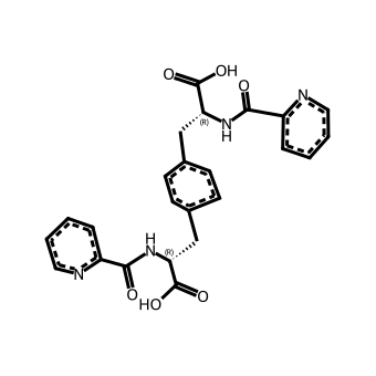 O=C(N[C@H](Cc1ccc(C[C@@H](NC(=O)c2ccccn2)C(=O)O)cc1)C(=O)O)c1ccccn1